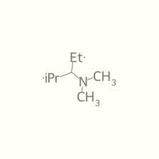 C[CH]C([C](C)C)N(C)C